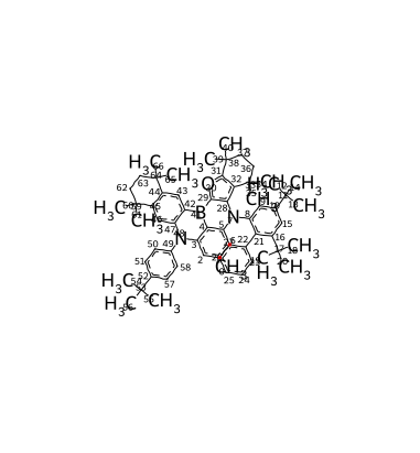 Cc1cc2c3c(c1)N(c1cc(C(C)(C)C)cc(C(C)(C)C)c1-c1ccccc1)c1c(oc4c1C(C)(C)CCC4(C)C)B3c1cc3c(cc1N2c1ccc(C(C)(C)C)cc1)C(C)(C)CCC3(C)C